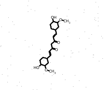 COC1CC(/C=C/C(=O)CC(=O)/C=C/C2CCC(O)C(OC)C2)CCC1O